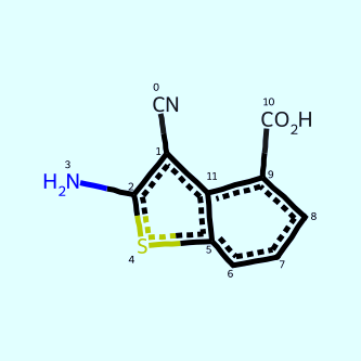 N#Cc1c(N)sc2cccc(C(=O)O)c12